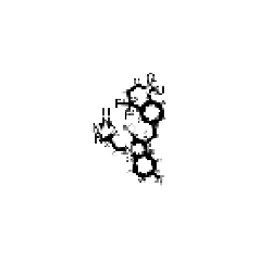 Cc1c(Cc2ccc3c(c2)C(F)(F)CCS3(=O)=O)c2cc(F)ccc2n1Cc1nn[nH]n1